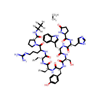 CC(=O)O.[2H]C([2H])([2H])C([2H])([2H])NC(=O)[C@@H]1CCCN1C(=O)C(CCCN=C(N)N)NC(=O)[C@@H](CC(C)C)NC(=O)[C@H](CC(C)C)NC(=O)[C@H](Cc1ccc(O)cc1)NC(=O)[C@H](CO)NC(=O)[C@H](Cc1c[nH]c2ccccc12)NC(=O)[C@H](Cc1cnc[nH]1)NC(=O)C1CCC(=O)N1